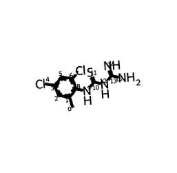 Cc1cc(Cl)cc(Cl)c1NC(=S)NC(=N)N